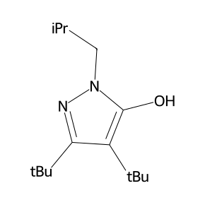 CC(C)Cn1nc(C(C)(C)C)c(C(C)(C)C)c1O